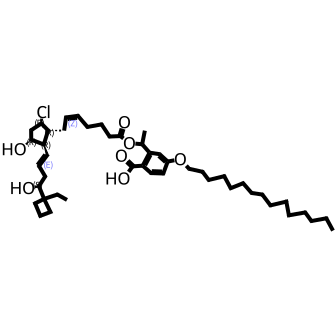 CCCCCCCCCCCCCCCOc1ccc(C(=O)O)c(C(C)OC(=O)CCC/C=C\C[C@@H]2[C@@H](/C=C/C[C@H](O)C3(CC)CCC3)[C@H](O)C[C@H]2Cl)c1